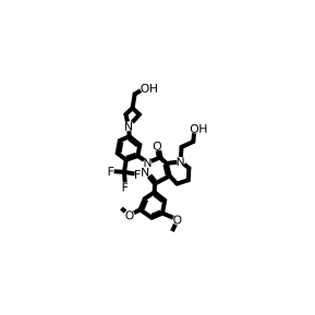 COc1cc(OC)cc(-c2nn(-c3cc(N4CC(CO)C4)ccc3C(F)(F)F)c(=O)c3c2CCCN3CCO)c1